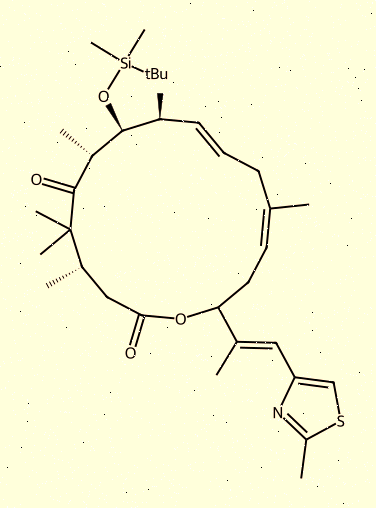 C/C1=C/CC(/C(C)=C/c2csc(C)n2)OC(=O)C[C@H](C)C(C)(C)C(=O)[C@H](C)[C@@H](O[Si](C)(C)C(C)(C)C)[C@@H](C)/C=C/C1